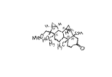 COC[C@]1(O)[C@H]2C[C@H]2C2C3C(CC[C@@]21C)[C@@]1(C)CCC(=O)C[C@@]1(O)[C@@H]1C[C@H]31